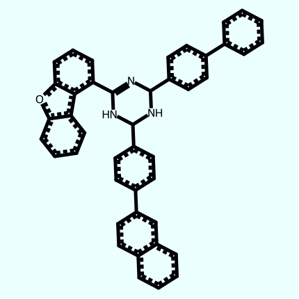 c1ccc(-c2ccc(C3N=C(c4cccc5oc6ccccc6c45)NC(c4ccc(-c5ccc6ccccc6c5)cc4)N3)cc2)cc1